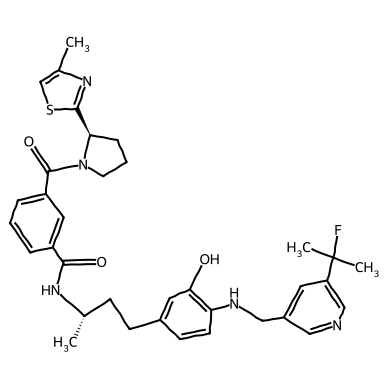 Cc1csc([C@H]2CCCN2C(=O)c2cccc(C(=O)N[C@@H](C)CCc3ccc(NCc4cncc(C(C)(C)F)c4)c(O)c3)c2)n1